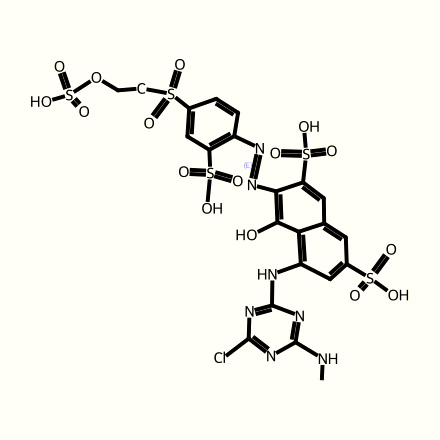 CNc1nc(Cl)nc(Nc2cc(S(=O)(=O)O)cc3cc(S(=O)(=O)O)c(/N=N/c4ccc(S(=O)(=O)CCOS(=O)(=O)O)cc4S(=O)(=O)O)c(O)c23)n1